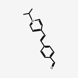 CC(C)[n+]1ccc(C=Cc2ccc(C=O)cc2)cc1